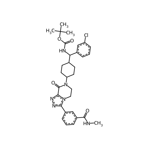 CNC(=O)c1cccc(-c2nnc3n2CCN(C2CCC(C(NC(=O)OC(C)(C)C)c4cccc(Cl)c4)CC2)C3=O)c1